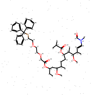 CCC(CC(OC)C(C)CCC(OC(=O)C(C)C)C(C)C(OC)C(C)/C=C/N(C)C=O)OC(=O)COCCOCCSC(c1ccccc1)(c1ccccc1)c1ccccc1